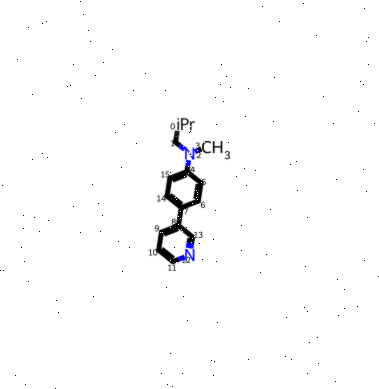 CC(C)CN(C)c1ccc(-c2cccnc2)cc1